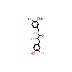 COc1cc(CNC(=O)C(O)Cc2ccc(O)c(O)c2)ccc1O